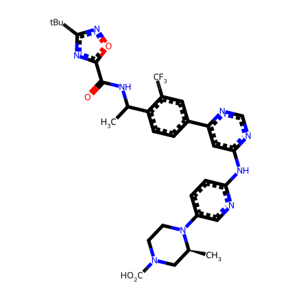 CC(NC(=O)c1nc(C(C)(C)C)no1)c1ccc(-c2cc(Nc3ccc(N4CCN(C(=O)O)C[C@@H]4C)cn3)ncn2)cc1C(F)(F)F